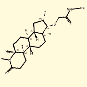 C[C@H]1C[C@H]2[C@@H]3CC[C@H]4N(C)C(=O)CC[C@]4(C)[C@H]3CC[C@]2(C)[C@H]1OCC(=O)NC(C)(C)C